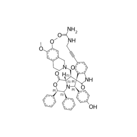 COc1cc2c(cc1OC)CN(C(=O)[C@@H]1[C@H]3C(=O)O[C@H](c4ccccc4)[C@H](c4ccccc4)N3[C@H](c3ccc(O)cc3)[C@@]13C(=O)Nc1ccc(C#CCNC(N)=O)cc13)CC2